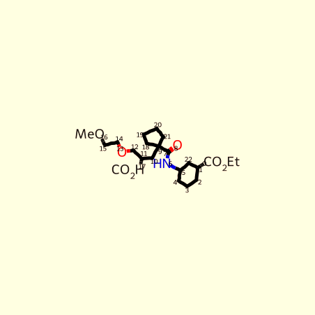 CCOC(=O)C1CCCC(NC(=O)C2(CC(COCCOC)C(=O)O)CCCC2)C1